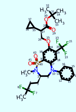 CN1[C@H](CCC(C)(F)F)CN(c2ccccc2)c2cc(C(F)(F)F)c(OC[C@H](C(=O)OC(C)(C)C)C3CC3)cc2S1(=O)=O